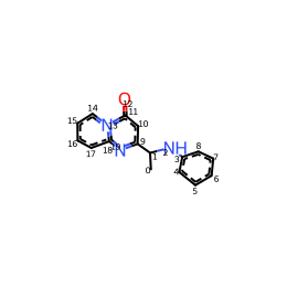 CC(Nc1ccccc1)c1cc(=O)n2ccccc2n1